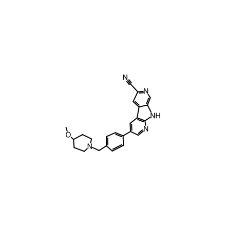 COC1CCN(Cc2ccc(-c3cnc4[nH]c5cnc(C#N)cc5c4c3)cc2)CC1